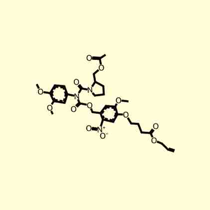 C=CCOC(=O)CCCOc1cc([N+](=O)[O-])c(COC(=O)N(C(=O)N2CCCC2COC(C)=O)c2ccc(OC)c(OC)c2)cc1OC